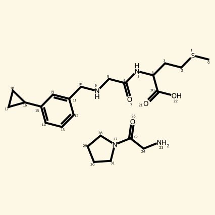 CSCCC(NC(=O)CNCc1cccc(C2CC2)c1)C(=O)O.NCC(=O)N1CCCC1